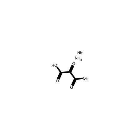 N.O=C(O)C(=O)C(=O)O.[Nb]